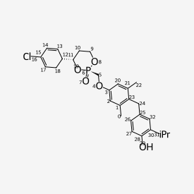 Cc1cc(OC[P@]2(=O)OCC[C@@H](C3C=CC(Cl)=CC3)O2)cc(C)c1Cc1ccc(O)c(C(C)C)c1